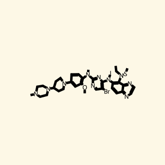 CCN(SC)c1c(N(I)c2nc(N(C)c3ccc(N4CCC(N5CCN(C)CC5)CC4)cc3OC)ncc2Br)ccc2nccnc12